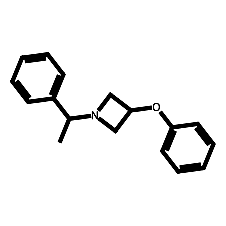 CC(c1ccccc1)N1CC(Oc2ccccc2)C1